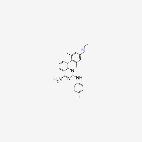 C/C=C/c1cc(C)c(-c2cccc3c(N)nc(Nc4ccc(C)cc4)nc23)c(C)c1